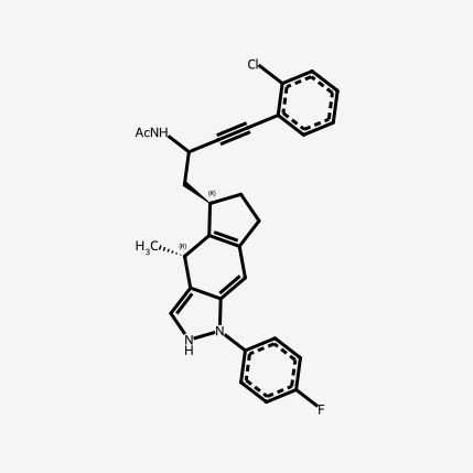 CC(=O)NC(C#Cc1ccccc1Cl)C[C@H]1CCC2=C1[C@@H](C)C1=CNN(c3ccc(F)cc3)C1=C2